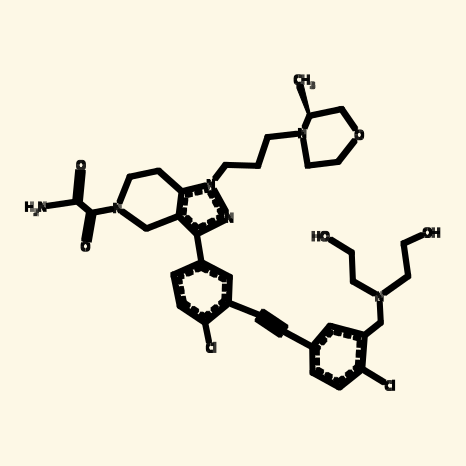 C[C@H]1COCCN1CCCn1nc(-c2ccc(Cl)c(C#Cc3ccc(Cl)c(CN(CCO)CCO)c3)c2)c2c1CCN(C(=O)C(N)=O)C2